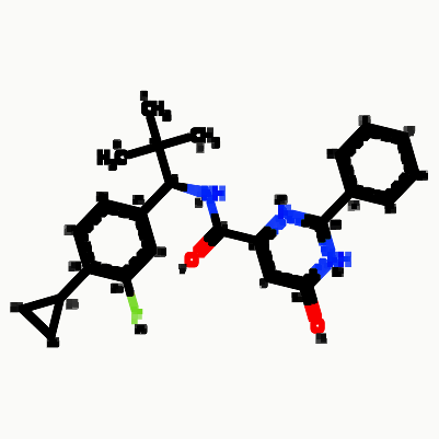 CC(C)(C)[C@@H](NC(=O)c1cc(=O)[nH]c(-c2ccccc2)n1)c1ccc(C2CC2)c(F)c1